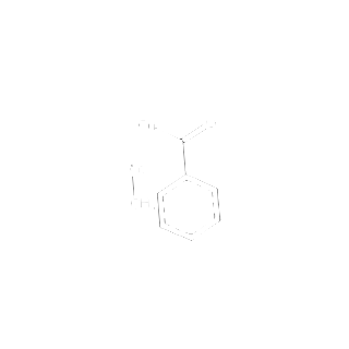 CC(C)=O.O=[C]([Cu])c1ccccc1